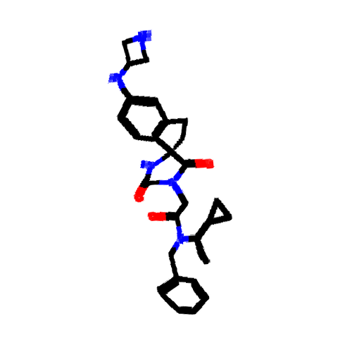 CC(C1CC1)N(Cc1ccccc1)C(=O)CN1C(=O)N[C@]2(CCc3cc(NC4CNC4)ccc32)C1=O